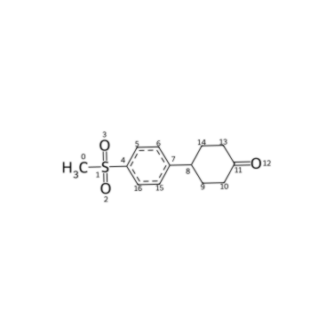 CS(=O)(=O)c1ccc(C2CCC(=O)CC2)cc1